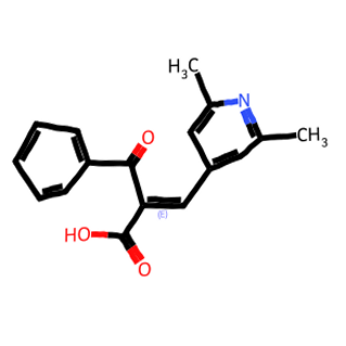 Cc1cc(/C=C(/C(=O)O)C(=O)c2ccccc2)cc(C)n1